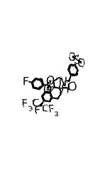 CS(=O)(=O)c1ccc(C(=O)N2CC[C@@]3(S(=O)(=O)c4ccc(F)cc4)c4ccc(C(F)(C(F)(F)F)C(F)(F)F)cc4CC[C@@H]23)cc1